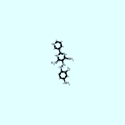 Nc1ccc(/N=N/c2c(N)nc(-c3cccnc3)nc2N)c(Cl)c1